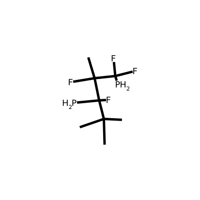 CC(C)(C)C(F)(P)C(C)(F)C(F)(F)P